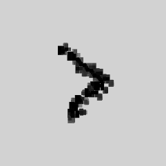 N.N.N.N.N.N.[Br-].[Br-].[Br-].[Br-].[Ru+4]